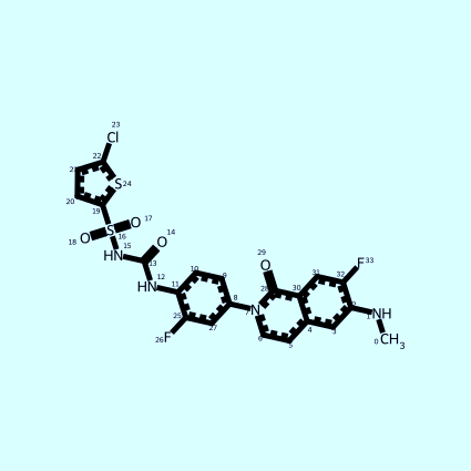 CNc1cc2ccn(-c3ccc(NC(=O)NS(=O)(=O)c4ccc(Cl)s4)c(F)c3)c(=O)c2cc1F